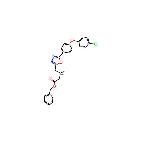 C[C@@H](CC(=O)OCc1ccccc1)Cc1nnc(-c2ccc(Oc3ccc(Cl)cc3)cc2)o1